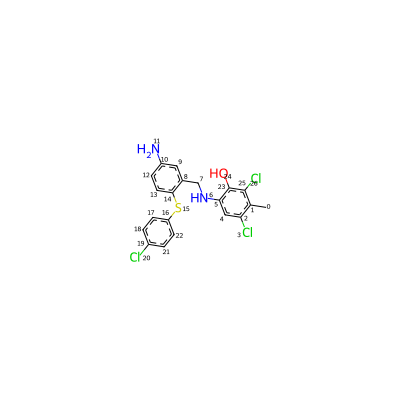 Cc1c(Cl)cc(NCc2cc(N)ccc2Sc2ccc(Cl)cc2)c(O)c1Cl